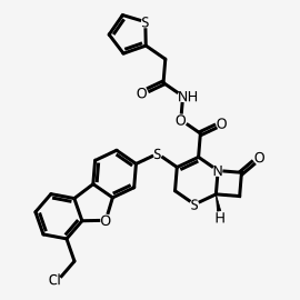 O=C(Cc1cccs1)NOC(=O)C1=C(Sc2ccc3c(c2)oc2c(CCl)cccc23)CS[C@H]2CC(=O)N12